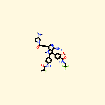 C=C(F)C(=O)Nc1ccc(-c2c(-c3ccc(C(=O)NCC(F)(F)F)c(OC)c3)c3c(N)ncc(C#CC(=O)N4CC[C@@H](N(C)C)C4)c3n2C)cc1